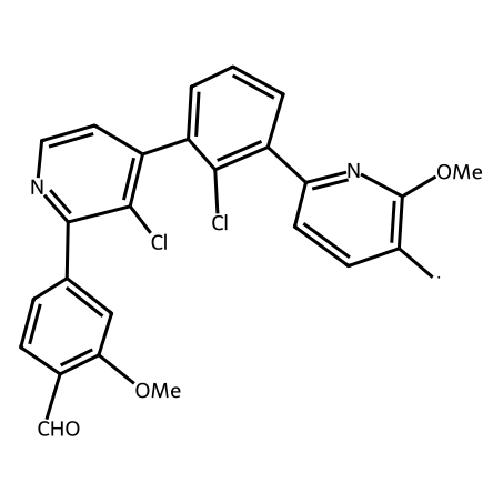 [CH2]c1ccc(-c2cccc(-c3ccnc(-c4ccc(C=O)c(OC)c4)c3Cl)c2Cl)nc1OC